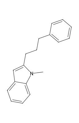 Cn1c(CCCc2ccccc2)cc2ccccc21